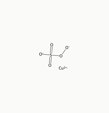 O=S(=O)([O-])O[O-].[Cu+2]